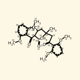 COc1cccc(OC)c1C(=O)CC(C)(C)CC(C)C(P=O)C(=O)c1c(OC)cccc1OC